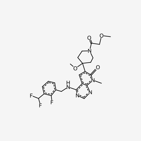 COCC(=O)N1CCC(OC)(c2cc3c(NCc4cccc(C(F)F)c4F)ncnc3n(C)c2=O)CC1